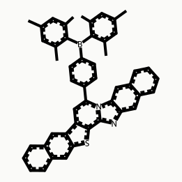 Cc1cc(C)c(B(c2ccc(-c3cc4c5cc6ccccc6cc5sc4c4nc5cc6ccccc6cc5n34)cc2)c2c(C)cc(C)cc2C)c(C)c1